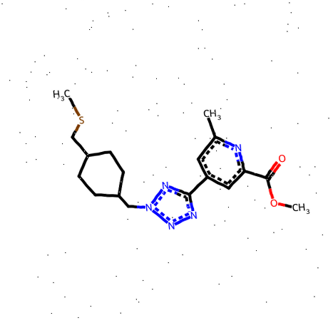 COC(=O)c1cc(-c2nnn(CC3CCC(CSC)CC3)n2)cc(C)n1